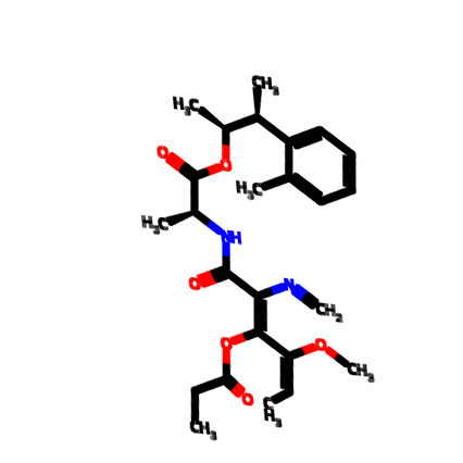 C=N/C(C(=O)N[C@@H](C)C(=O)O[C@@H](C)[C@@H](C)c1ccccc1C)=C(OC(=O)CC)\C(=C/C)OC